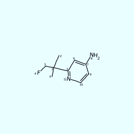 CC(C)(CF)c1cc(N)ccn1